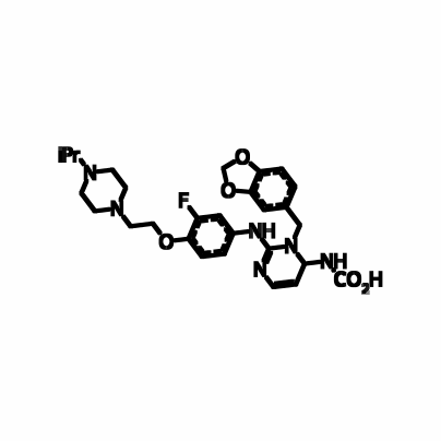 CC(C)N1CCN(CCOc2ccc(NC3=NC=CC(NC(=O)O)N3Cc3ccc4c(c3)OCO4)cc2F)CC1